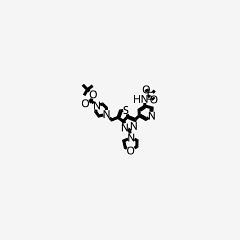 CC(C)(C)OC(=O)N1CCN(Cc2csc3c(-c4cncc(NS(C)(=O)=O)c4)nc(N4CCOCC4)nc23)CC1